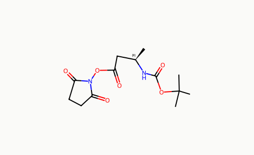 C[C@H](CC(=O)ON1C(=O)CCC1=O)NC(=O)OC(C)(C)C